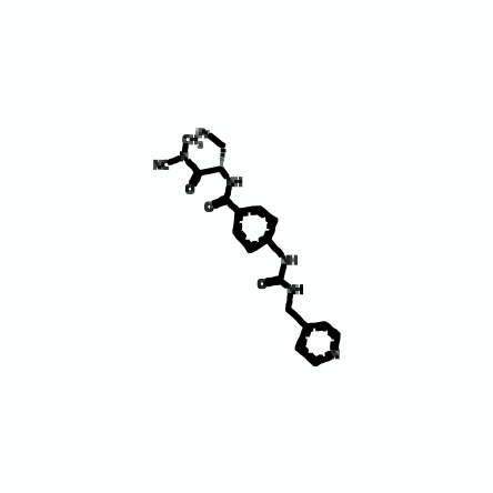 CC(C)C[C@H](NC(=O)c1ccc(NC(=O)NCc2ccncc2)cc1)C(=O)N(C)C#N